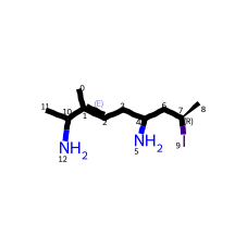 C/C(=C\CC(N)C[C@@H](C)I)C(C)N